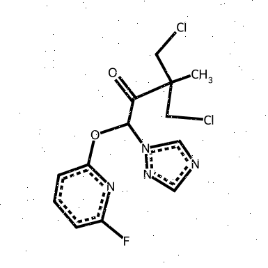 CC(CCl)(CCl)C(=O)C(Oc1cccc(F)n1)n1cncn1